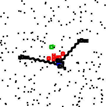 CCCCCCCCCCCCCCCCCC(=O)CC(O)C[N+](C)(C)CC(O)CC(=O)CCCCCCCCCCCCCCCCC.[Cl-]